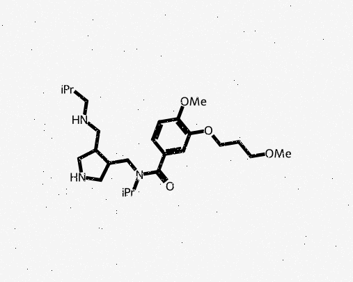 COCCCOc1cc(C(=O)N(CC2CNCC2CNCC(C)C)C(C)C)ccc1OC